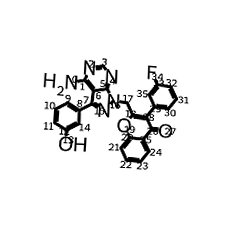 Nc1ncnc2c1c(-c1cccc(O)c1)nn2Cc1oc2ccccc2c(=O)c1-c1cccc(F)c1